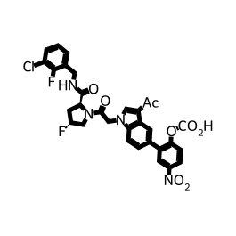 CC(=O)c1cn(CC(=O)N2C[C@H](F)C[C@H]2C(=O)NCc2cccc(Cl)c2F)c2ccc(-c3cc([N+](=O)[O-])ccc3OC(=O)O)cc12